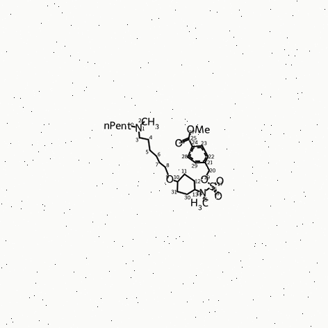 CCCCCN(C)CCCCCCOC1CCC(N(C)S(=O)(=O)OCc2ccc(C(=O)OC)cc2)CC1